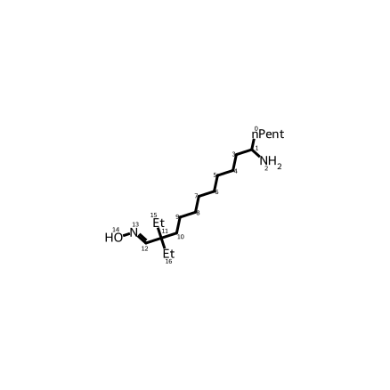 CCCCCC(N)CCCCCCCCC(C=NO)(CC)CC